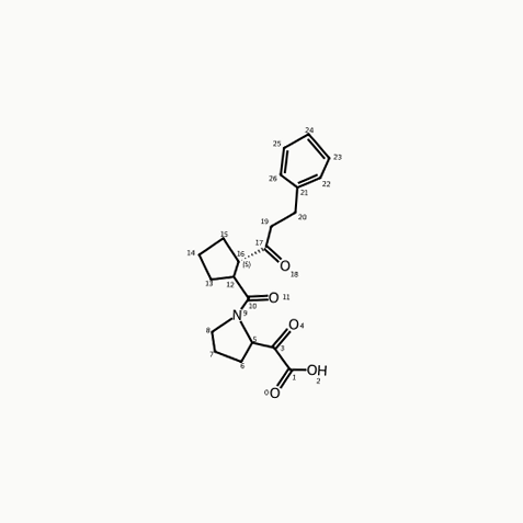 O=C(O)C(=O)C1CCCN1C(=O)C1CCC[C@@H]1C(=O)CCc1ccccc1